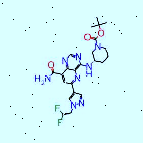 CC(C)(C)OC(=O)N1CCC[C@H](Nc2ncnc3c(C(N)=O)cc(-c4cnn(CC(F)F)c4)nc23)C1